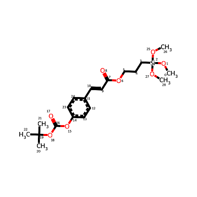 CO[Si](CCCOC(=O)/C=C/c1ccc(OC(=O)OC(C)(C)C)cc1)(OC)OC